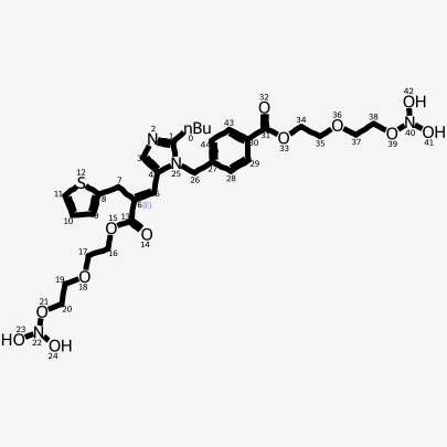 CCCCc1ncc(/C=C(\Cc2cccs2)C(=O)OCCOCCON(O)O)n1Cc1ccc(C(=O)OCCOCCON(O)O)cc1